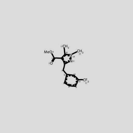 COC(=O)c1c(Cc2cccc(C(F)(F)F)c2)nn(C)c1C